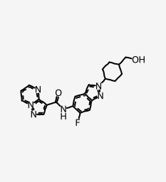 O=C(Nc1cc2cn(C3CCC(CO)CC3)nc2cc1F)c1cnn2cccnc12